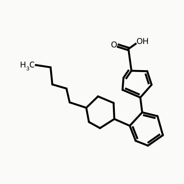 CCCCCC1CCC(c2ccccc2-c2ccc(C(=O)O)cc2)CC1